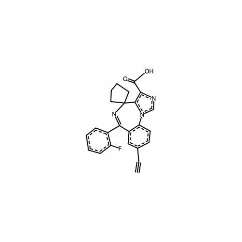 C#Cc1ccc2c(c1)C(c1ccccc1F)=NC1(CCCC1)c1c(C(=O)O)ncn1-2